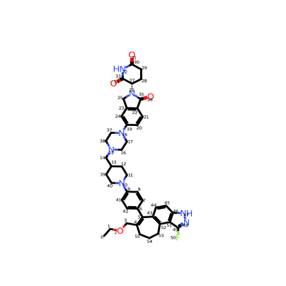 CCOCC1=C(c2ccc(N3CCC(CN4CCN(c5ccc6c(c5)CN([C@H]5CCC(=O)NC5=O)C6=O)CC4)CC3)cc2)c2ccc3[nH]nc(F)c3c2CCC1